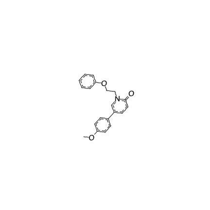 COc1ccc(-c2ccc(=O)n(CCOc3ccccc3)c2)cc1